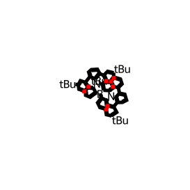 CC(C)(C)c1cccc(-c2cccc(-c3cccc(C(C)(C)C)c3)c2N2c3ccccc3B3c4ccccc4N(c4c(-c5cccc(C(C)(C)C)c5)cccc4-c4cccc(C(C)(C)C)c4)c4cccc2c43)c1